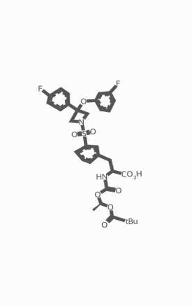 C[C@@H](OC(=O)NC(Cc1cccc(S(=O)(=O)N2CC(Oc3cccc(F)c3)(c3ccc(F)cc3)C2)c1)C(=O)O)OC(=O)C(C)(C)C